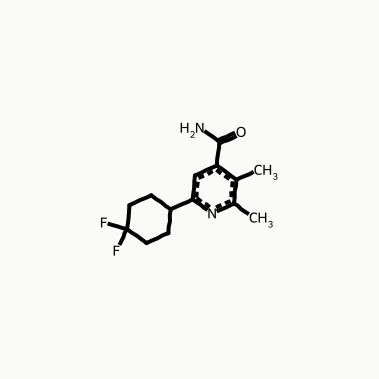 Cc1nc(C2CCC(F)(F)CC2)cc(C(N)=O)c1C